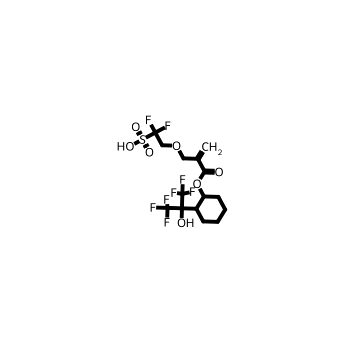 C=C(COCC(F)(F)S(=O)(=O)O)C(=O)OC1CCCCC1C(O)(C(F)(F)F)C(F)(F)F